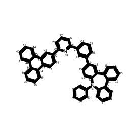 c1ccc(N2c3ccccc3-c3ccccc3-c3cc(-c4cccc(-c5cccc(-c6ccc7c8ccccc8c8ccccc8c7c6)n5)c4)ccc32)cc1